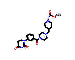 CCCCOC(=O)NN1CCC(CN2CCN(C(=O)c3cccc(N4CCC(=O)NC4=O)c3)CC2)CC1